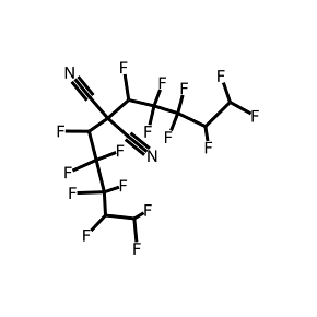 N#CC(C#N)(C(F)C(F)(F)C(F)(F)C(F)C(F)F)C(F)C(F)(F)C(F)(F)C(F)C(F)F